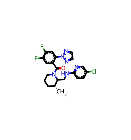 C[C@@H]1CCCN(C(=O)c2cc(F)c(F)cc2-n2nccn2)C1CNc1ccc(Cl)cn1